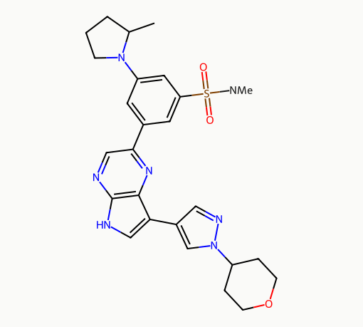 CNS(=O)(=O)c1cc(-c2cnc3[nH]cc(-c4cnn(C5CCOCC5)c4)c3n2)cc(N2CCCC2C)c1